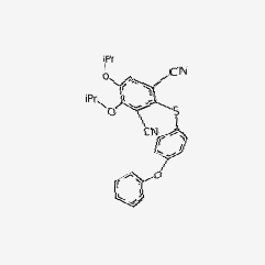 CC(C)Oc1cc(C#N)c(Sc2ccc(Oc3ccccc3)cc2)c(C#N)c1OC(C)C